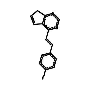 Fc1ccc(/C=C/c2ncnc3c2C=CC3)cc1